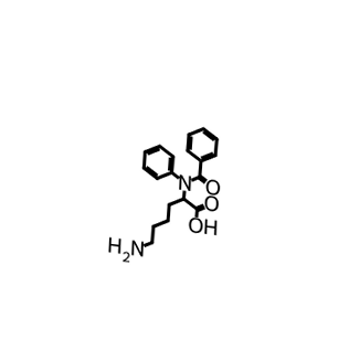 NCCCCC(C(=O)O)N(C(=O)c1ccccc1)c1ccccc1